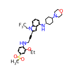 CCOc1cc(S(C)(=O)=O)ccc1NCC#Cc1cc2c(N[C@H]3CC[C@H](N4CCOCC4)CC3)cccc2n1CC(F)(F)F